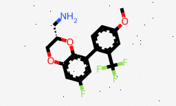 COc1ccc(-c2cc(F)cc3c2O[C@@H](CN)CO3)c(C(F)(F)F)c1